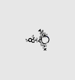 COCC1c2ccc(OC)cc2CCN1C(=O)O[C@@H]1C[C@H]2C(=O)N[C@]3(C(=O)NS(=O)(=O)C4CC4)C[C@H]3/C=C\CCCCC[C@H](NC(=O)OC(C)(C)C)C(=O)N2C1